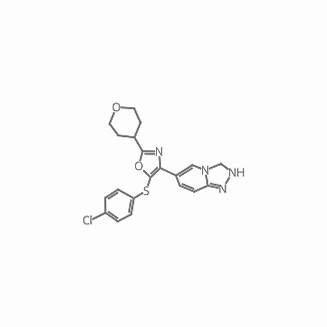 Clc1ccc(Sc2oc(C3CCOCC3)nc2C2=CN3CNN=C3C=C2)cc1